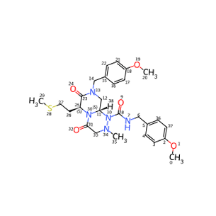 COc1ccc(CNC(=O)N2[C@H]3CN(Cc4ccc(OC)cc4)C(=O)[C@H](CCSC)N3C(=O)CN2C)cc1